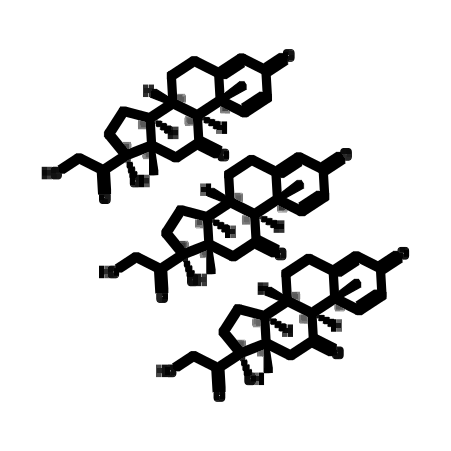 C[C@]12C=CC(=O)C=C1CC[C@@H]1[C@@H]2C(=O)C[C@@]2(C)[C@H]1CC[C@]2(O)C(=O)CO.C[C@]12C=CC(=O)C=C1CC[C@@H]1[C@@H]2C(=O)C[C@@]2(C)[C@H]1CC[C@]2(O)C(=O)CO.C[C@]12C=CC(=O)C=C1CC[C@@H]1[C@@H]2C(=O)C[C@@]2(C)[C@H]1CC[C@]2(O)C(=O)CO